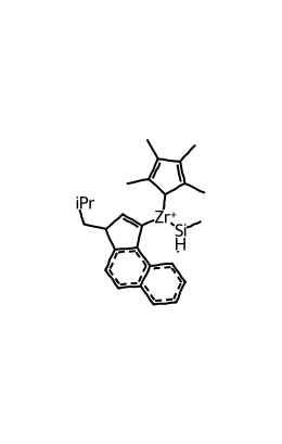 CC1=C(C)[CH]([Zr+]([C]2=CC(CC(C)C)c3ccc4ccccc4c32)[SiH](C)C)C(C)=C1C